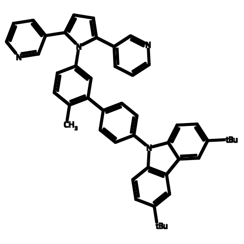 Cc1ccc(-n2c(-c3cccnc3)ccc2-c2cccnc2)cc1-c1ccc(-n2c3ccc(C(C)(C)C)cc3c3cc(C(C)(C)C)ccc32)cc1